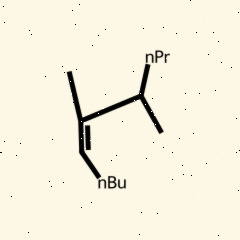 [CH2]CCCC=C(C)C(C)CC[CH2]